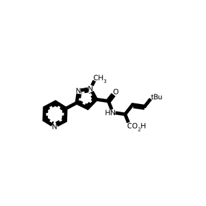 Cn1nc(-c2cccnc2)cc1C(=O)NC(C=CC(C)(C)C)C(=O)O